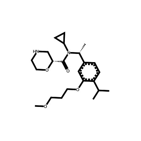 COCCCOc1cc([C@@H](C)N(C(=O)[C@H]2CNCCO2)C2CC2)ccc1C(C)C